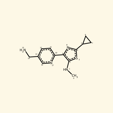 CNc1sc(C2CC2)nc1-c1ccc(CN)cn1